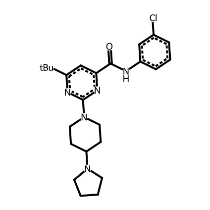 CC(C)(C)c1cc(C(=O)Nc2cccc(Cl)c2)nc(N2CCC(N3CCCC3)CC2)n1